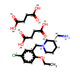 CCOc1ccc(Cl)cc1CN1CCC[C@@H](CN)C1.O=C(O)CCC(=O)O.O=C(O)CCC(=O)O